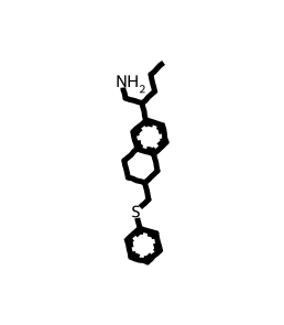 CCCC(CN)c1ccc2c(c1)CCC(CSc1ccccc1)C2